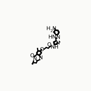 C=C1CC2C=Nc3cc(OCCCC(=O)Nc4cc(-c5nc6ccc(N)cc6[nH]5)n(C)c4)c(C)cc3C(=O)N2C1